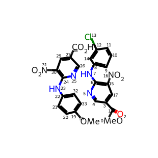 COC(=O)c1cnc(Nc2cccc(Cl)c2)c([N+](=O)[O-])c1.COc1ccc(Nc2ncc(C(=O)O)cc2[N+](=O)[O-])cc1